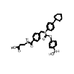 O=C(O)CCNC(=O)c1ccc(CN(C(=O)Oc2ccc(NO)cc2)c2ccc(C3CCCCC3)cc2)cc1